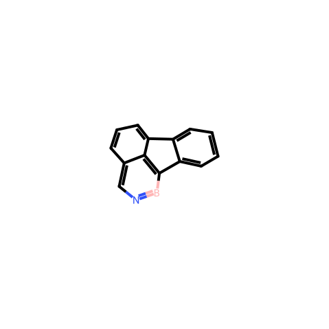 b1ncc2cccc3c2c1-c1ccccc1-3